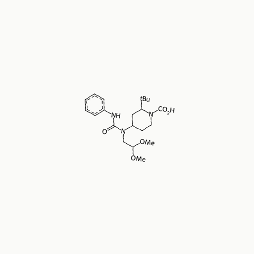 COC(CN(C(=O)Nc1ccccc1)C1CCN(C(=O)O)C(C(C)(C)C)C1)OC